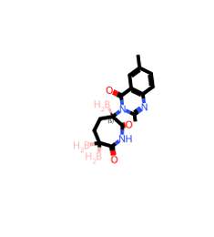 BC1(B)CC[C@](B)(n2c(C)nc3ccc(C)cc3c2=O)C(=O)NC1=O